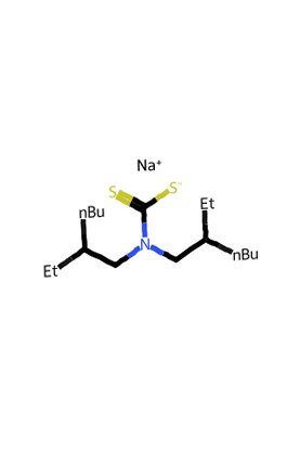 CCCCC(CC)CN(CC(CC)CCCC)C(=S)[S-].[Na+]